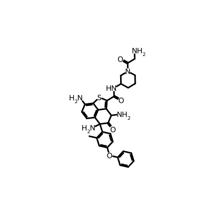 Cc1cc(Oc2ccccc2)ccc1C1(N)C(=O)C(N)c2c(C(=O)NC3CCCN(C(=O)CN)C3)sc3c(N)ccc1c23